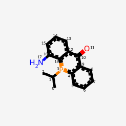 CC(C)p1c2ccccc2c(=O)c2cccc(N)c21